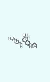 Cc1cc(N[C@H]2CCN(C)C2)c2ccc(-c3ccn[nH]3)cc2n1